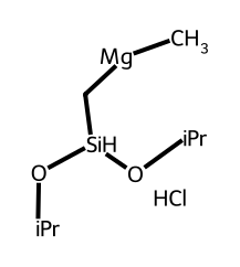 Cl.[CH3][Mg][CH2][SiH](OC(C)C)OC(C)C